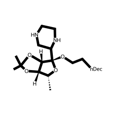 CCCCCCCCCCCCO[C@@]1(C2CNCCN2)O[C@H](C)[C@@H]2OC(C)(C)O[C@@H]21